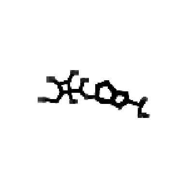 COC(=O)c1cc2ccc(OC(O)C3(O)C(O)C(O)C3CO)cc2s1